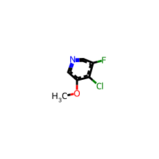 COc1cncc(F)c1Cl